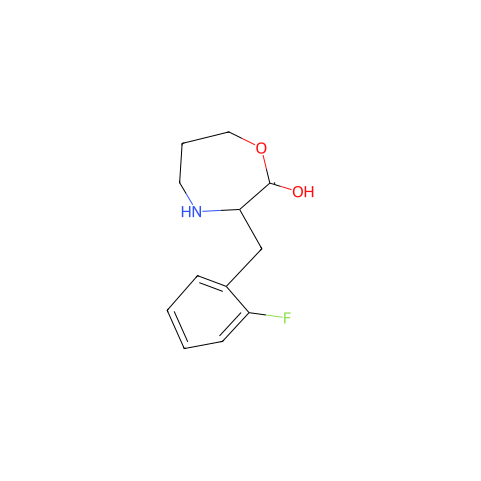 O[C]1OCCCNC1Cc1ccccc1F